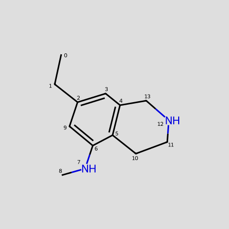 CCc1cc2c(c(NC)c1)CCNC2